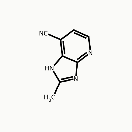 Cc1nc2nccc(C#N)c2[nH]1